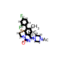 CC(=O)N1CCN(c2nc(=O)n3c4c(c(-c5ccc(F)cc5F)c(C)cc24)SCC3)[C@@H](C)C1